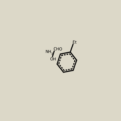 CCc1ccccc1.N.O=CO